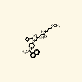 CS/C=C/CNC(=O)CNC(=O)CN(C(=O)C1CCC1)C1CCN(C(C)c2cccc3ccccc23)CC1